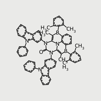 CC1=C2N(c3ccc4c5ccccc5n(-c5ccccc5)c4c3)C(=O)N(c3ccc4c5ccccc5n(-c5ccccc5)c4c3)C3=C(C)B(c4c(C)cccc4C)c4cccc(c4N23)B1c1c(C)cccc1C